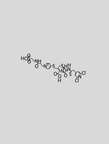 O=C(CC[n+]1ccc(SCC2=C(C(=O)O)N3C(=O)[C@H](NC(=S)Cc4cc(Cl)nc(Cl)c4)[C@H]3SC2)cc1)NCCS(=O)(=O)O